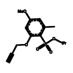 C#CCOc1cc(OC)cc(C)c1S(=O)(=O)OC(C)C